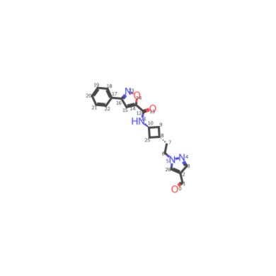 O=Cc1cnn(CC[C@H]2C[C@H](NC(=O)c3cc(-c4ccccc4)no3)C2)c1